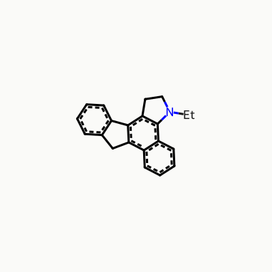 CCN1CCc2c3c(c4ccccc4c21)Cc1ccccc1-3